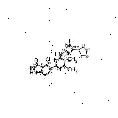 Cc1nc(-c2ccc3[nH][nH]c(=O)c3c2Cl)nc(Nc2n[nH]c(C3CCCC3)n2)c1C